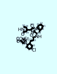 CCOC(=O)Oc1cn(-c2ccc(Cl)cc2/C=C/C(=O)N[C@@H](Cc2ccccc2)c2nc(-c3cc[nH]c(=O)c3)c(Cl)[nH]2)nn1